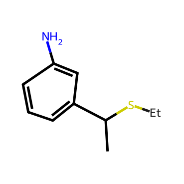 CCSC(C)c1cccc(N)c1